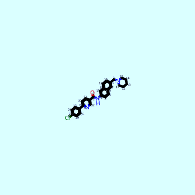 O=C(Nc1ccc2cc(CN3CCCCC3)ccc2c1)c1ccc(-c2ccc(Cl)cc2)nc1